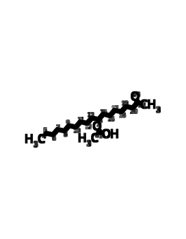 CC(=O)O.CCCCCCCCCCCCCCCCCC(C)=O